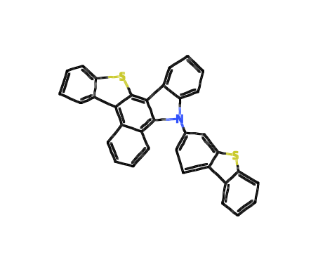 c1ccc2c(c1)sc1cc(-n3c4ccccc4c4c5sc6ccccc6c5c5ccccc5c43)ccc12